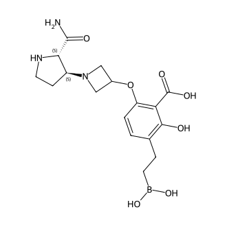 NC(=O)[C@H]1NCC[C@@H]1N1CC(Oc2ccc(CCB(O)O)c(O)c2C(=O)O)C1